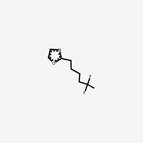 CC(F)(F)CCCCc1n[c]co1